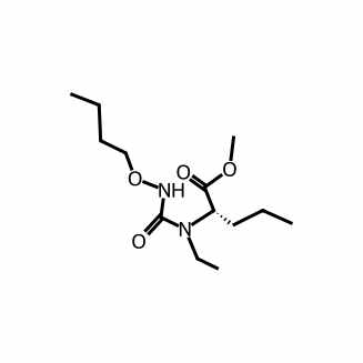 CCCCONC(=O)N(CC)[C@@H](CCC)C(=O)OC